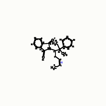 C/C=C\CC(N1C(=O)c2ccccc2C1=O)S(C)(C)c1ccccc1